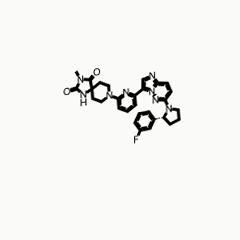 CN1C(=O)NC2(CCN(c3cccc(-c4cnc5ccc(N6CCC[C@@H]6c6cccc(F)c6)nn45)n3)CC2)C1=O